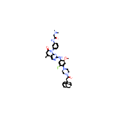 COc1cc(N2CCN(C(=O)CC34CC5CC(CC(C5)C3)C4)CC2)c(F)cc1Nc1ncc2c(C)cc(=O)n(-c3cccc(NC(=O)CN(C)C)c3)c2n1